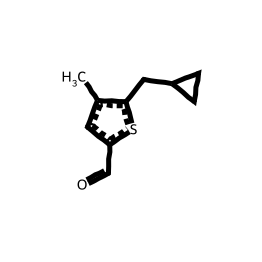 Cc1cc(C=O)sc1CC1CC1